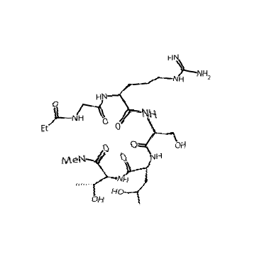 CCC(=O)NCC(=O)N[C@@H](CCCNC(=N)N)C(=O)N[C@@H](CO)C(=O)N[C@@H](CC(C)O)C(=O)N[C@H](C(=O)NC)[C@@H](C)O